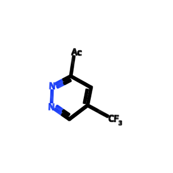 CC(=O)c1cc(C(F)(F)F)cnn1